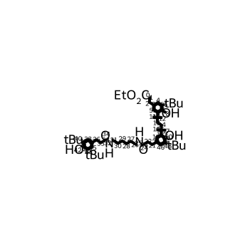 CCOC(=O)CCc1cc(C(C)(C)C)c(O)c(C(C)(C)CCC(C)(C)c2cc(CCC(=O)NCCCCCCNC(=O)CCc3cc(C(C)(C)C)c(O)c(C(C)(C)C)c3)cc(C(C)(C)C)c2O)c1